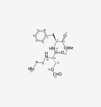 COC(=O)[C@H](Cc1ccccc1)NC(=O)[C@H](COC=O)NCCC(C)(C)C